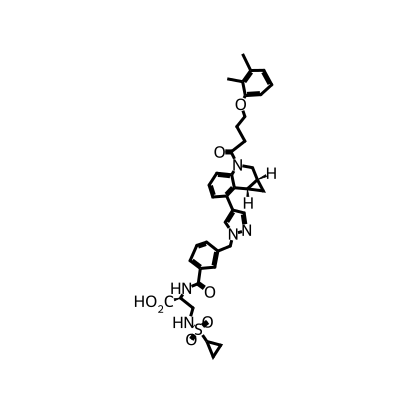 Cc1cccc(OCCCC(=O)N2C[C@@H]3C[C@@H]3c3c(-c4cnn(Cc5cccc(C(=O)N[C@@H](CNS(=O)(=O)C6CC6)C(=O)O)c5)c4)cccc32)c1C